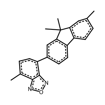 Cc1ccc2c(c1)C(C)(C)c1cc(-c3ccc(C)c4nonc34)ccc1-2